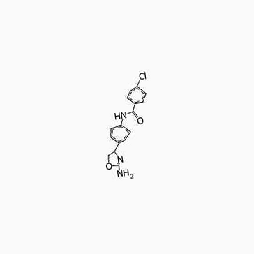 NC1=NC(c2ccc(NC(=O)c3ccc(Cl)cc3)cc2)CO1